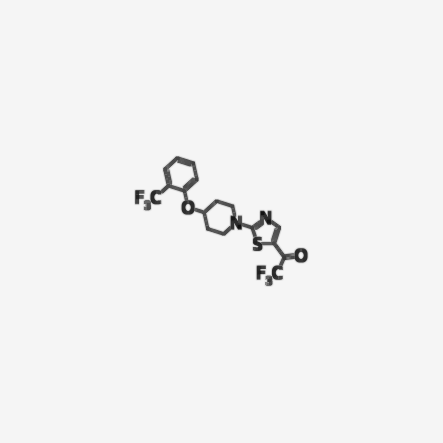 O=C(c1cnc(N2CCC(Oc3ccccc3C(F)(F)F)CC2)s1)C(F)(F)F